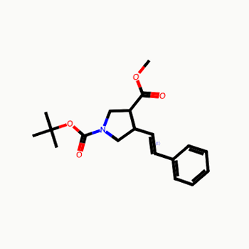 COC(=O)C1CN(C(=O)OC(C)(C)C)CC1/C=C/c1ccccc1